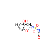 C[Si](C)(C)O.O=C=NS(=O)(=O)N=C=O